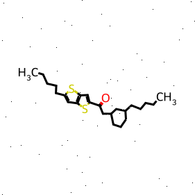 CCCCCc1cc2sc(C(=O)CC3CCCC(CCCCC)C3)cc2s1